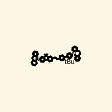 CC(C)(C)c1cc(/C=C/c2ccc3c(c2)C(C)(C)c2cc(N4C5=C(C=CCC5)Cc5ccccc54)ccc2-3)ccc1-c1ccc(N2c3ccccc3CCc3ccccc32)cc1